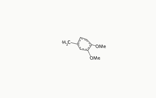 [CH2]c1ccc(OC)c(OC)c1